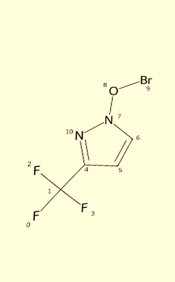 FC(F)(F)c1ccn(OBr)n1